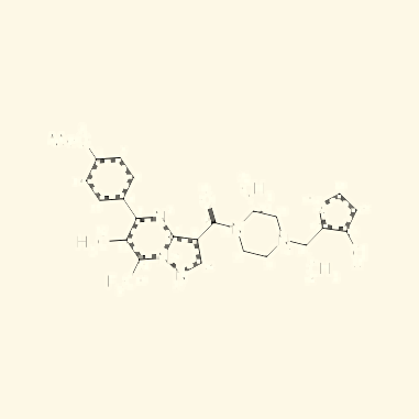 COc1ccc(-c2nc3c(C(=O)N4CCN([C@@H](C)c5sccc5Cl)C[C@H]4C)cnn3c(C(F)(F)F)c2C)cc1